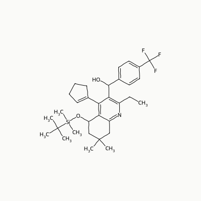 CCc1nc2c(c(C3=CCCC3)c1C(O)c1ccc(C(F)(F)F)cc1)C(O[Si](C)(C)C(C)(C)C)CC(C)(C)C2